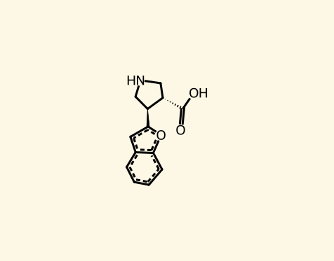 O=C(O)[C@H]1CNC[C@@H]1c1cc2ccccc2o1